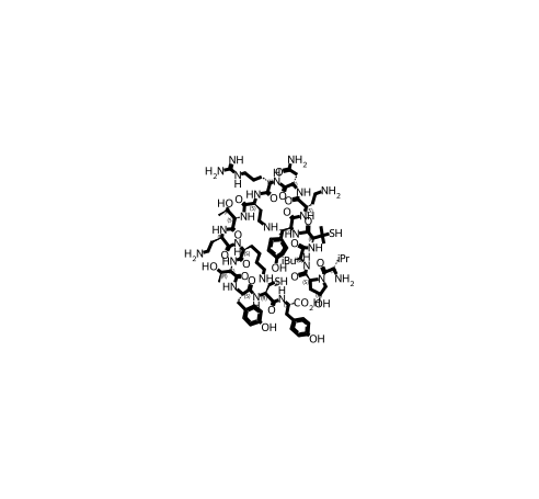 CC[C@H](C)[C@H](NC(=O)[C@@H]1C[C@@H](O)CN1C(=O)[C@@H](N)C(C)C)C(=O)N[C@H](C(=O)N[C@@H](Cc1ccc(O)cc1)C(=O)N[C@@H](CCN)C(=O)N[C@@H](CC(N)=O)C(=O)N[C@@H](CCCNC(=N)N)C(=O)N[C@@H](CCN)C(=O)N[C@H](C(=O)N[C@H](CCN)C(=O)N[C@@H](CCCCN)C(=O)N[C@H](C(=O)N[C@@H](Cc1ccc(O)cc1)C(=O)N[C@@H](CS)C(=O)N[C@@H](Cc1ccc(O)cc1)C(=O)O)[C@@H](C)O)[C@@H](C)O)C(C)(C)S